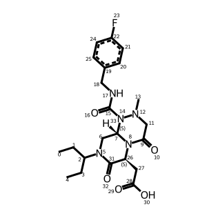 CCC(CC)N1C[C@H]2N(C(=O)CN(C)N2C(=O)NCc2ccc(F)cc2)[C@@H](CC(=O)O)C1=O